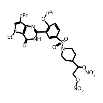 CCCOc1ccc(S(=O)(=O)N2CCC(C(CO[N+](=O)[O-])O[N+](=O)[O-])CC2)cc1-c1nc2c(CCC)cn(CC)c2c(=O)[nH]1